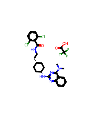 CN(C)c1nc(N[C@H]2CC[C@@H](CCNC(=O)c3c(Cl)cccc3Cl)CC2)nc2ccccc12.O=C(O)C(F)(F)F